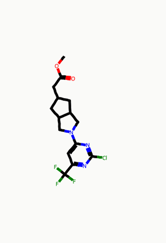 COC(=O)CC1CC2CN(c3cc(C(F)(F)F)nc(Cl)n3)CC2C1